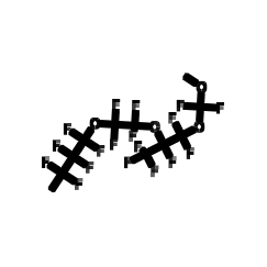 COC(F)(F)OC(F)(F)C(F)(OC(F)(F)C(F)(F)OC(F)(F)C(F)(F)C(C)(F)F)C(F)(F)F